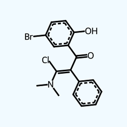 CN(C)C(Cl)=C(C(=O)c1cc(Br)ccc1O)c1ccccc1